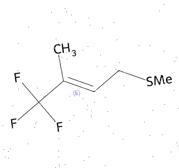 [CH2]SC/C=C(\C)C(F)(F)F